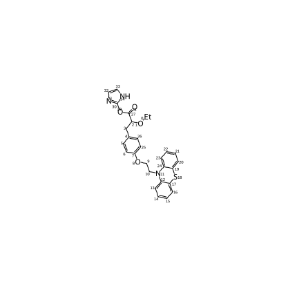 CCOC(Cc1ccc(OCCN2c3ccccc3Sc3ccccc32)cc1)C(=O)Oc1ncc[nH]1